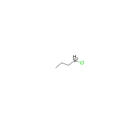 CCC[SiH2]Cl